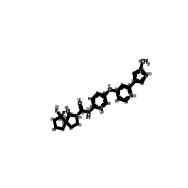 Cn1cc(-c2cc(Oc3ccc(NC(=O)N4CCC5(CCCC5(F)F)C4=O)nc3)ccn2)cn1